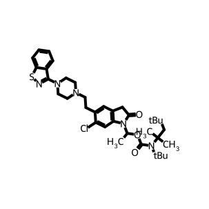 CC(OC(=O)N(C(C)(C)C)C(C)(C)CC(C)(C)C)N1C(=O)Cc2cc(CCN3CCN(c4nsc5ccccc45)CC3)c(Cl)cc21